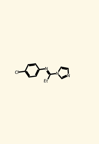 CC/C(=N\c1ccc(Cl)cc1)n1ccnc1